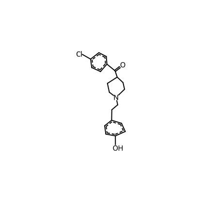 O=C(c1ccc(Cl)cc1)C1CCN(CCc2ccc(O)cc2)CC1